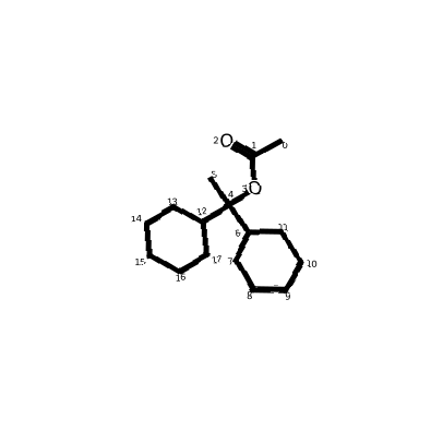 CC(=O)OC(C)(C1CCCCC1)C1CCCCC1